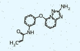 C=CC(=O)Nc1cccc(Oc2cccc3nc(N)nn23)c1